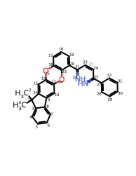 CC1(C)c2ccccc2-c2cc3c(cc21)Oc1cccc(C(=N)/C=C\C(=N)c2ccccc2)c1O3